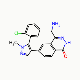 Cn1ncc(-c2ccc3c(=O)[nH]nc(CN)c3c2)c1-c1ccccc1Cl